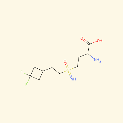 N=S(=O)(CCC1CC(F)(F)C1)CCC(N)C(=O)O